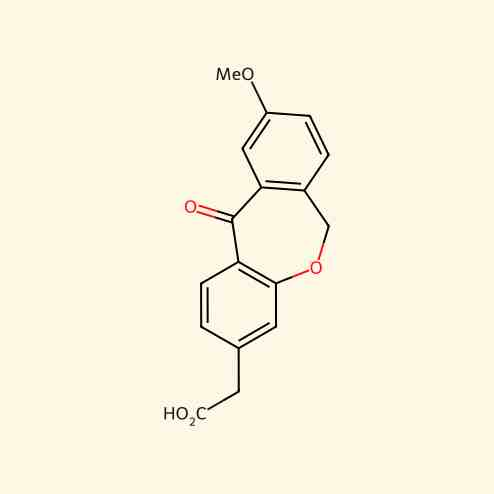 COc1ccc2c(c1)C(=O)c1ccc(CC(=O)O)cc1OC2